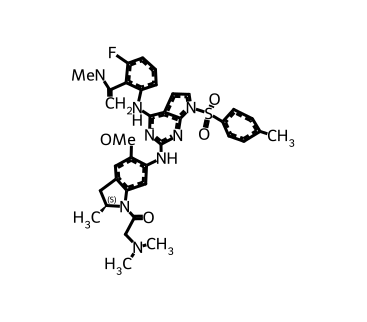 C=C(NC)c1c(F)cccc1Nc1nc(Nc2cc3c(cc2OC)C[C@H](C)N3C(=O)CN(C)C)nc2c1ccn2S(=O)(=O)c1ccc(C)cc1